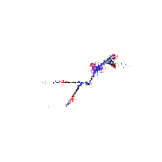 CCCCCC/C=C/COC(=O)CCCCCCCCN(CCCCCCCCC(=O)OC/C=C/CCCCCC)CCCN(C)CCCCCC(=O)Nc1nc(OCCCC)nc2c1[nH]c(=O)n2CCCN(CCCN1CCOCC1)Cc1cccc(C(=O)OC)c1